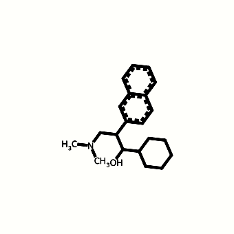 CN(C)CC(c1ccc2ccccc2c1)C(O)C1CCCCC1